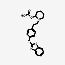 O=C(O)OC1CCCCN1CCc1ccc(Oc2nc3ccccc3s2)cc1